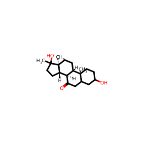 CC1(O)CC[C@H]2[C@@H]3C(=O)CC4CC(O)CC[C@]4(C)[C@@H]3CC[C@@]21C